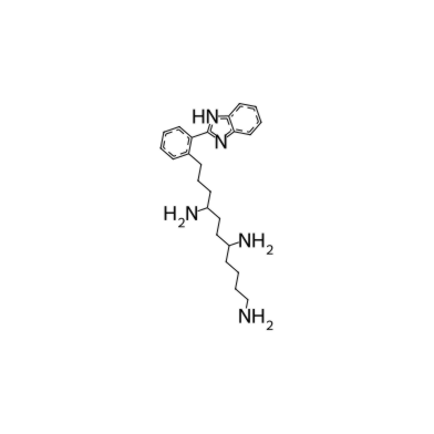 NCCCCC(N)CCC(N)CCCc1ccccc1-c1nc2ccccc2[nH]1